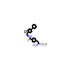 CC(C)(C)C[C@@H](CNC(=O)c1ccc(C[C@H](N)C(=O)O)cc1)c1ccc(-c2ccccc2)cc1